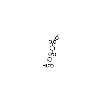 CCOCOC(=O)C1CCC(C(=O)Oc2ccc(C(=O)O)cc2)CC1